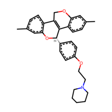 Cc1ccc2c(c1)O[C@@H](c1ccc(OCCN3CCCCC3)cc1)C1=C2COc2cc(C)ccc21